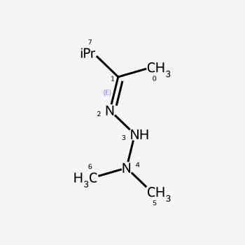 C/C(=N\NN(C)C)C(C)C